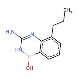 CCCc1cccc2c1N=C(N)NB2O